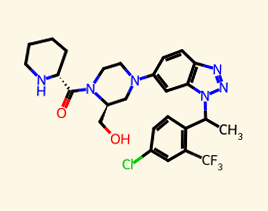 CC(c1ccc(Cl)cc1C(F)(F)F)n1nnc2ccc(N3CCN(C(=O)[C@H]4CCCCN4)[C@H](CO)C3)cc21